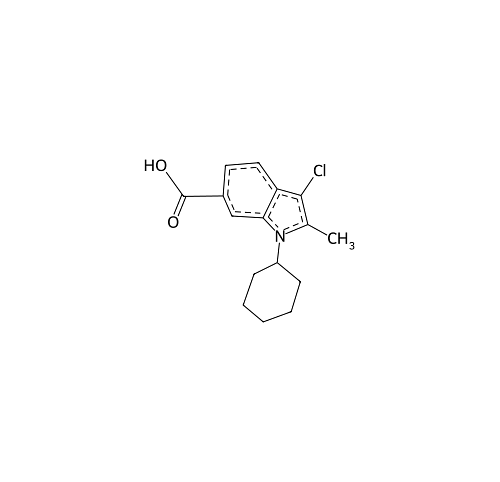 Cc1c(Cl)c2ccc(C(=O)O)cc2n1C1CCCCC1